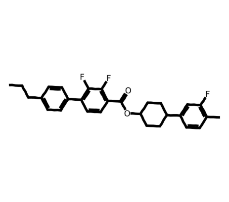 CCCc1ccc(-c2ccc(C(=O)OC3CCC(c4ccc(C)c(F)c4)CC3)c(F)c2F)cc1